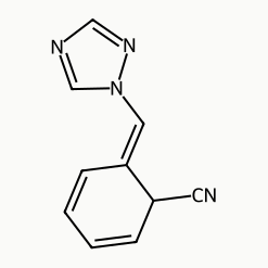 N#CC1C=CC=CC1=Cn1cncn1